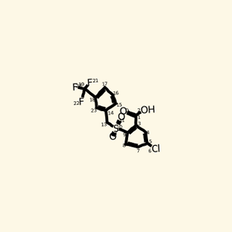 O=C(O)c1cc(Cl)ccc1S(=O)(=O)Cc1cccc(C(F)(F)F)c1